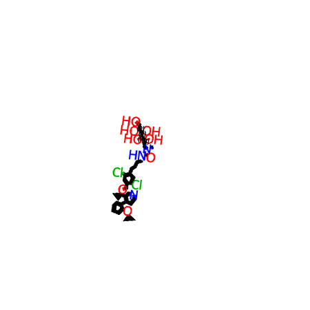 CN(C[C@H](O)[C@@H](O)[C@H](O)[C@H](O)CO)C(=O)NCCCCc1cc(Cl)c(COC2(c3cnccc3-c3ccccc3OC3CC3)CC2)cc1Cl